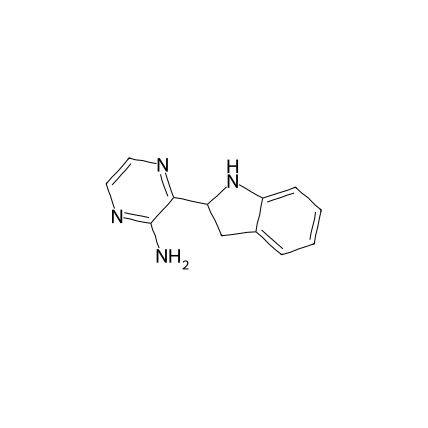 Nc1nccnc1C1Cc2ccccc2N1